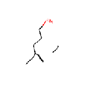 CC.CC(C)CCCO